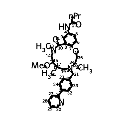 CCCC(=O)Nc1ccc2c(c1)C(=O)N(C)C[C@H](OC)[C@@H](C)CN(Cc1ccc(-c3ccccn3)cc1)[C@@H](C)CO2